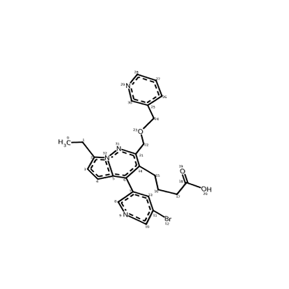 CCc1ccc2c(-c3cncc(Br)c3)c(CCCC(=O)O)c(COCc3cccnc3)nn12